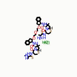 CNC(C)C(=S)N[C@H]1CCS[C@H]2CC(C)(C)[C@@H](C(=O)N[C@H]3c4ccccc4C[C@H]3OCCOCCO[C@@H]3Cc4ccccc4[C@@H]3NC(=O)[C@H]3N4C(=O)[C@@H](NC(=S)C(C)NC)CCS[C@H]4CC3(C)C)N2C1=O.Cl.Cl